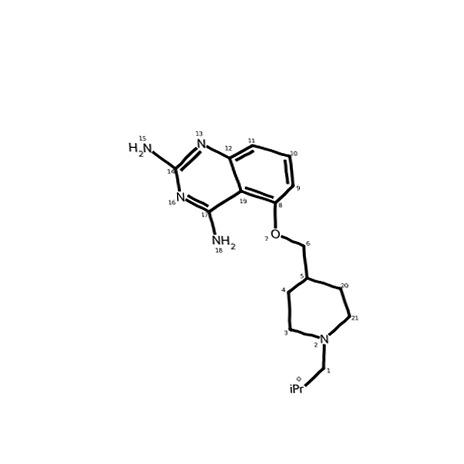 CC(C)CN1CCC(COc2cccc3nc(N)nc(N)c23)CC1